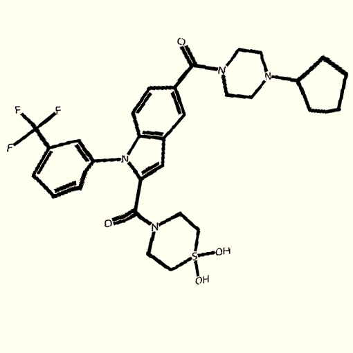 O=C(c1ccc2c(c1)cc(C(=O)N1CCS(O)(O)CC1)n2-c1cccc(C(F)(F)F)c1)N1CCN(C2CCCC2)CC1